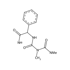 CNC(=O)N(C)C(=O)NC(C([NH])=O)c1ccccc1